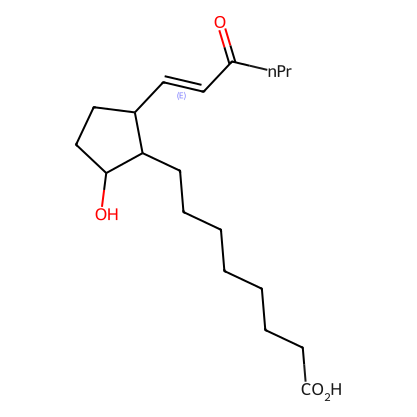 CCCC(=O)/C=C/C1CCC(O)C1CCCCCCCC(=O)O